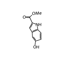 COC(=O)c1cc2cc(O)ccc2[nH]1